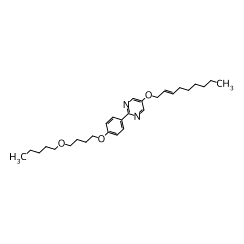 CCCCCCC=CCOc1cnc(-c2ccc(OCCCCOCCCCC)cc2)nc1